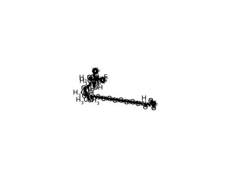 CC(C)[C@H](NC(=O)CCOCCOCCOCCOCCOCCOCCOCCOCCNC(=O)CCN1C(=O)C=CC1=O)C(=O)N[C@@H](C)C(=O)NCCCN(C(=O)CO)[C@@H](c1nc(-c2cc(F)ccc2F)cn1Cc1ccccc1)C(C)(C)C